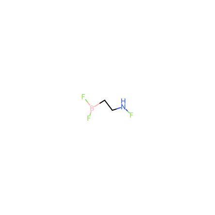 FNCCB(F)F